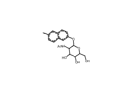 CC(=O)NC1C(Oc2ccc3cc(C)ccc3c2)OC(CO)C(O)C1O